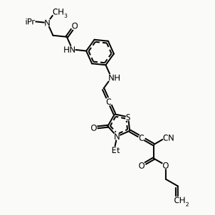 C=CCOC(=O)C(=C=c1sc(=C=CNc2cccc(NC(=O)CN(C)C(C)C)c2)c(=O)n1CC)C#N